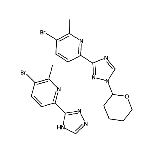 Cc1nc(-c2ncn(C3CCCCO3)n2)ccc1Br.Cc1nc(-c2nnc[nH]2)ccc1Br